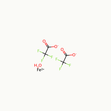 O.O=C([O-])C(F)(F)F.O=C([O-])C(F)(F)F.[Fe+2]